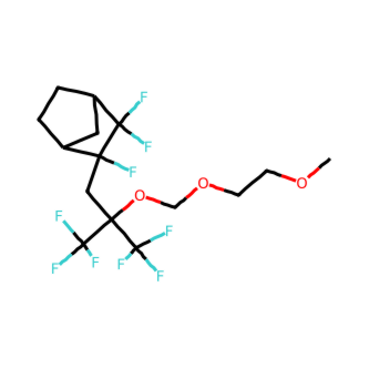 COCCOCOC(CC1(F)C2CCC(C2)C1(F)F)(C(F)(F)F)C(F)(F)F